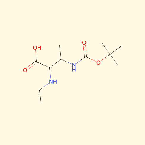 CCNC(C(=O)O)C(C)NC(=O)OC(C)(C)C